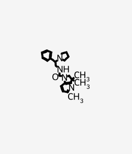 Cc1ccc2c(n1)C(C)(C)CN2C(=O)NCC(c1ccccc1)N1CCCC1